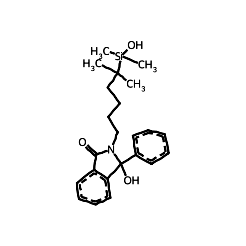 CC(C)(CCCCN1C(=O)c2ccccc2C1(O)c1ccccc1)[Si](C)(C)O